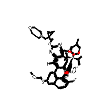 COCOc1cc(-c2c([N+](=O)[O-])cc3c(N4CCCC(C)C4)nc(OCC4(CN5CCOCC5)CC4)nc3c2F)c2c(C#C[Si](C(C)C)(C(C)C)C(C)C)c(F)ccc2c1